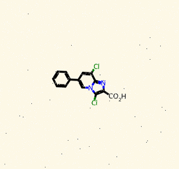 O=C(O)c1nc2c(Cl)cc(-c3ccccc3)cn2c1Cl